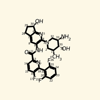 C[C@H]1CN(c2nc3c(cc2NC(=O)c2ccc(F)c(-c4c(F)cccc4F)n2)CC[C@H]3O)C[C@@H](N)[C@@H]1O